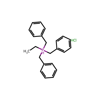 CC[PH](Cc1ccccc1)(Cc1ccccc1)Cc1ccccc1.Cl